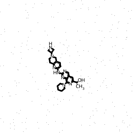 C[C@@H](O)c1cc2cnc(Nc3ccc4c(n3)CCN(C3CNC3)C4)nc2c(N2CCCCC2)n1